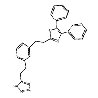 c1ccc(-c2nc(CCc3cccc(OCc4nnn[nH]4)c3)oc2-c2ccccc2)cc1